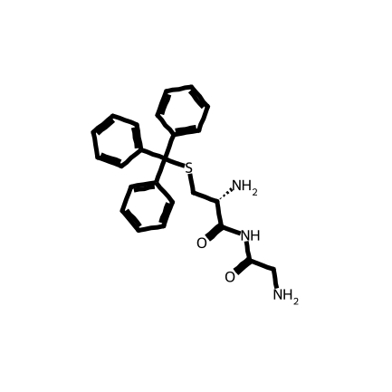 NCC(=O)NC(=O)[C@@H](N)CSC(c1ccccc1)(c1ccccc1)c1ccccc1